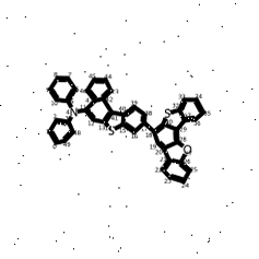 c1ccc(N(c2ccccc2)c2cc3sc4cc(-c5cc6c7ccccc7oc6c6c5sc5ccccc56)ccc4c3c3ccccc23)cc1